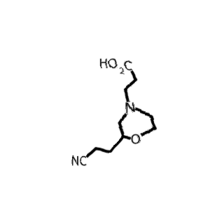 N#CCCC1CN(CCC(=O)O)CCO1